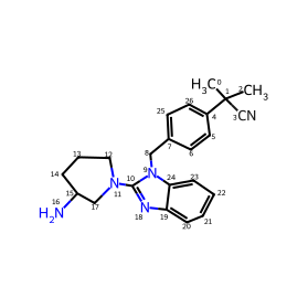 CC(C)(C#N)c1ccc(Cn2c(N3CCCC(N)C3)nc3ccccc32)cc1